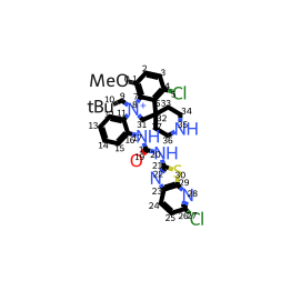 COc1ccc(Cl)c2c1[N+](CC(C)(C)C)(c1ccccc1NC(=O)Nc1nc3ccc(Cl)nc3s1)CC21CCNCC1